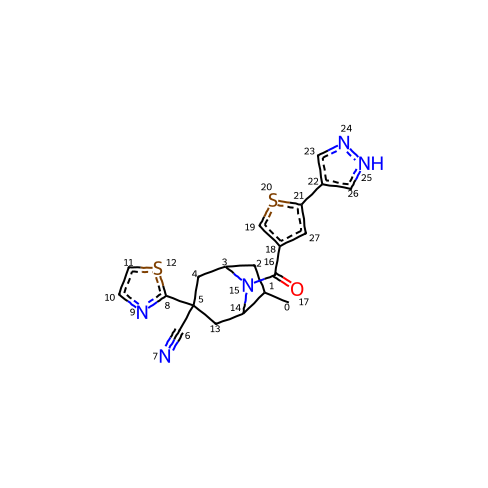 CC1CC2CC(C#N)(c3nccs3)CC1N2C(=O)c1csc(-c2cn[nH]c2)c1